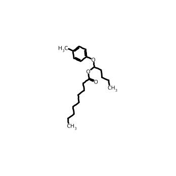 CCCCCCCCC(=O)OC(CCCC)Oc1ccc(C)cc1